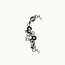 CCc1nn(Cc2nc(C)cs2)c2cccc(NC(=O)c3cnc4cc(OCCN5CCN(C)CC5)ccn34)c12